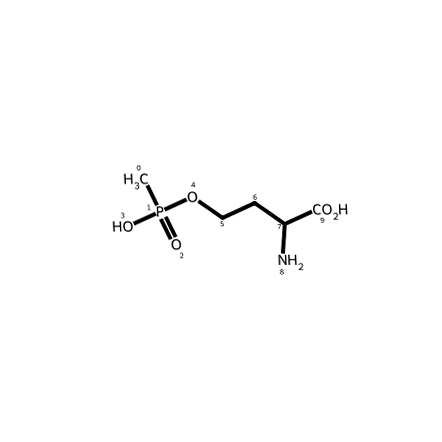 CP(=O)(O)OCCC(N)C(=O)O